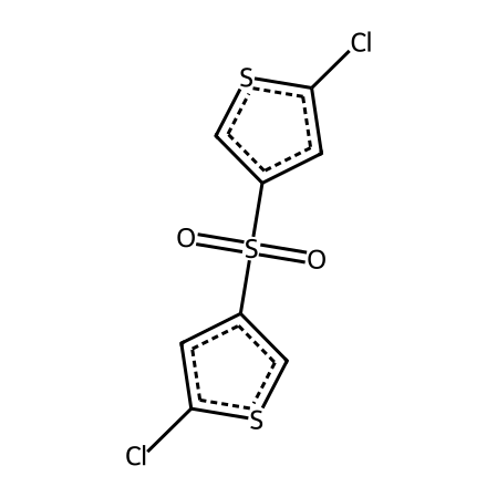 O=S(=O)(c1csc(Cl)c1)c1csc(Cl)c1